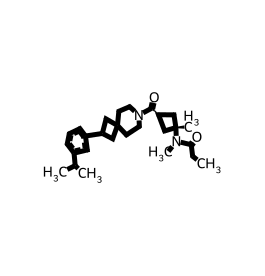 CCC(=O)N(C)[C@]1(C)C[C@H](C(=O)N2CCC3(CC2)CC(c2cccc(C(C)C)c2)C3)C1